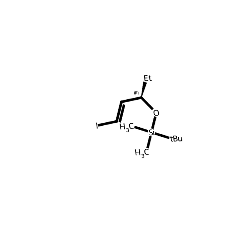 CC[C@H](C=CI)O[Si](C)(C)C(C)(C)C